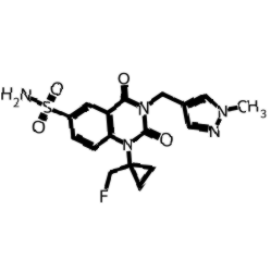 Cn1cc(Cn2c(=O)c3cc(S(N)(=O)=O)ccc3n(C3(CF)CC3)c2=O)cn1